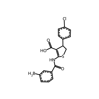 Bc1cccc(C(=O)NC2=C(C(=O)O)C(c3ccc(Cl)cc3)CS2)c1